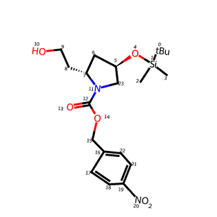 CC(C)(C)[Si](C)(C)O[C@@H]1C[C@@H](CCO)N(C(=O)OCc2ccc([N+](=O)[O-])cc2)C1